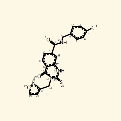 O=C(NCc1ccc(Cl)cc1)c1ccc2c(=O)n(Cc3ccon3)c(=S)[nH]c2c1